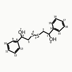 OC(CSSCC(O)c1ccccc1)c1ccccc1